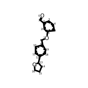 O=Cc1cccc(OCc2ccc(C3CCCO3)cc2)c1